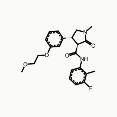 COCCOc1cccc([C@@H]2CN(C)C(=O)[C@H]2C(=O)Nc2cccc(F)c2C)c1